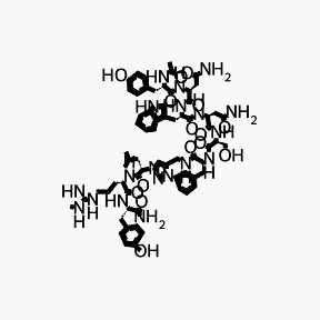 CNC(=N)NCCC[C@H](NC(=O)[C@H](CC(C)C)n1cc(CNC(=O)[C@H](Cc2ccccc2)NC(=O)[C@H](CO)NC(=O)[C@H](CC(N)=O)NC(=O)[C@H](Cc2c[nH]c3ccccc23)NC(=O)[C@H](CC(N)=O)NC(=O)[C@H](Cc2ccc(O)cc2)NC(C)=O)nn1)C(=O)N[C@@H](Cc1ccc(O)cc1)C(N)=O